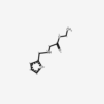 CCOC(=O)CNCc1ccco1